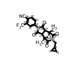 CC12OC(C)(C(=O)N(CC3CC3)C1=O)C1C(=O)N(c3ccc(C#N)c(C(F)(F)F)c3)C(=O)C12